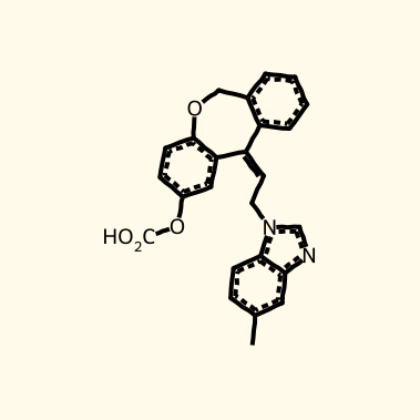 Cc1ccc2c(c1)ncn2CC=C1c2ccccc2COc2ccc(OC(=O)O)cc21